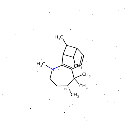 CC1C2C=CC3=C(C1C2C)N(C)CC[C@@H](C)C3(C)C